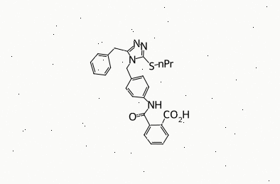 CCCSc1nnc(Cc2ccccc2)n1Cc1ccc(NC(=O)c2ccccc2C(=O)O)cc1